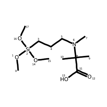 CO[Si](CCCN(C)C(C)(C)C(=O)O)(OC)OC